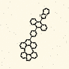 c1ccc2c(-c3cn4ccccc4n3)c3ccccc3c(-c3ccc(-c4cc5cccc6c7cccc8ccc9cccc(c%10cccc4c%10c56)c9c87)cc3)c2c1